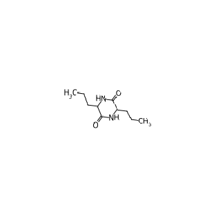 CCCC1NC(=O)C(CCC)NC1=O